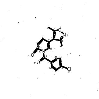 Cc1noc(C)c1-c1ccc(=O)n(C(=O)c2ccc(Cl)cc2)c1